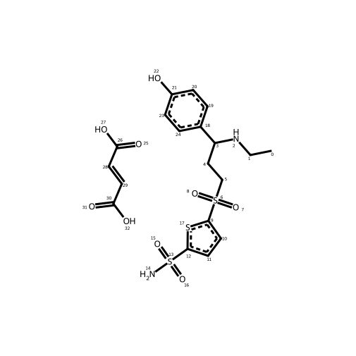 CCNC(CCS(=O)(=O)c1ccc(S(N)(=O)=O)s1)c1ccc(O)cc1.O=C(O)C=CC(=O)O